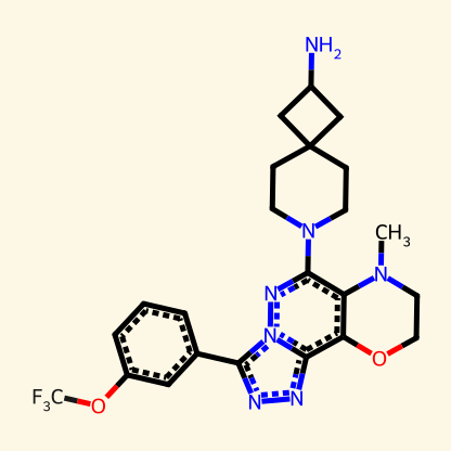 CN1CCOc2c1c(N1CCC3(CC1)CC(N)C3)nn1c(-c3cccc(OC(F)(F)F)c3)nnc21